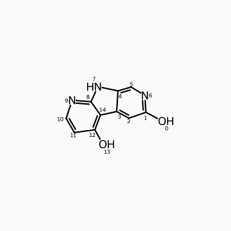 Oc1cc2c(cn1)[nH]c1nccc(O)c12